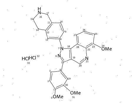 COc1ccc(-c2nn(-c3ccc4c(c3)CCNC4)c3c2cnc2c(OC)cccc23)cc1OC.Cl.Cl